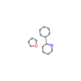 c1ccc(-c2ccccn2)cc1.c1ccoc1